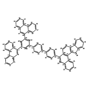 c1ccc2c(c1)cc(-c1nc(-c3ccc(-c4ccc(-c5nc6ccccc6c6c5ccc5c7ccccc7sc56)cc4)cc3)nc(-c3cc4ccccc4c4ccccc34)n1)c1ccccc12